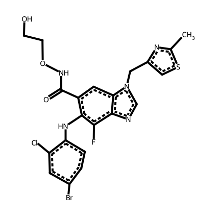 Cc1nc(Cn2cnc3c(F)c(Nc4ccc(Br)cc4Cl)c(C(=O)NOCCO)cc32)cs1